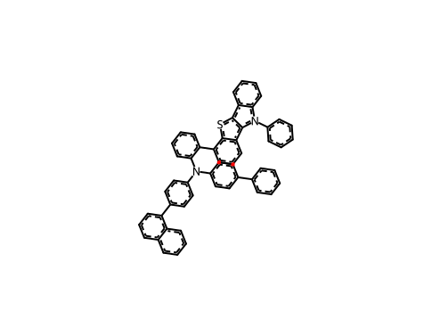 c1ccc(-c2ccc(N(c3ccc(-c4cccc5ccccc45)cc3)c3ccccc3-c3cccc4c3sc3c5ccccc5n(-c5ccccc5)c43)cc2)cc1